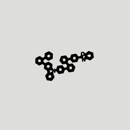 c1ccc(-c2ccccc2-c2ccc3c(c2)c2ccccc2n3-c2ccc(-c3ccccc3-c3ccccc3-c3ccc(-c4nc5ccccc5o4)cc3)cc2)cc1